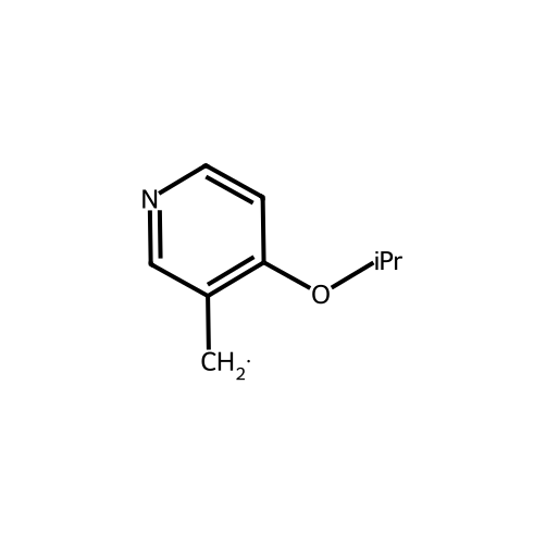 [CH2]c1cnccc1OC(C)C